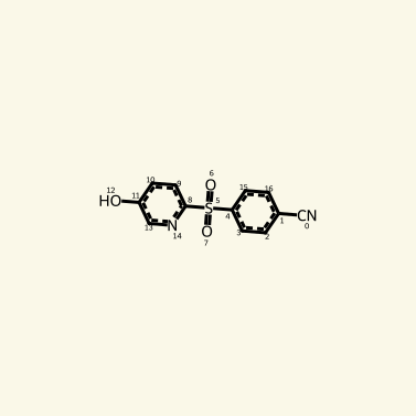 N#Cc1ccc(S(=O)(=O)c2ccc(O)cn2)cc1